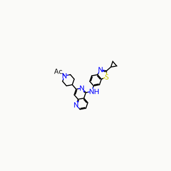 CC(=O)N1CCC(c2cc3ncccc3c(Nc3ccc4nc(C5CC5)sc4c3)n2)CC1